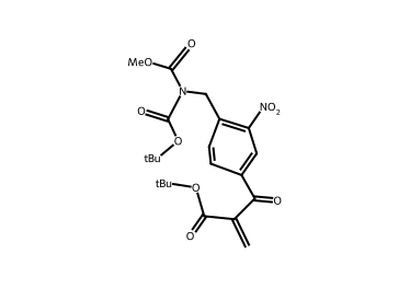 C=C(C(=O)OC(C)(C)C)C(=O)c1ccc(CN(C(=O)OC)C(=O)OC(C)(C)C)c([N+](=O)[O-])c1